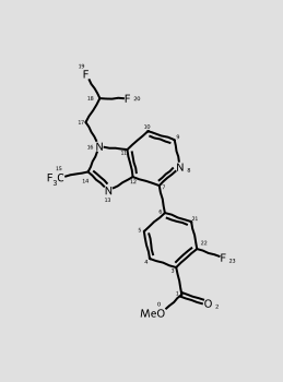 COC(=O)c1ccc(-c2nccc3c2nc(C(F)(F)F)n3CC(F)F)cc1F